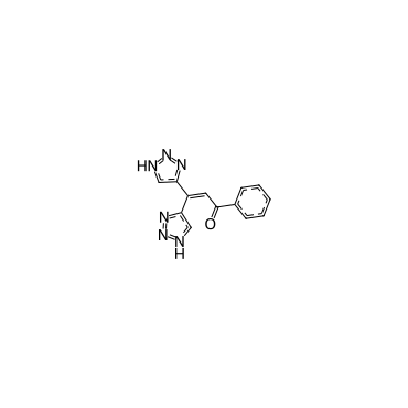 O=C(C=C(c1c[nH]nn1)c1c[nH]nn1)c1ccccc1